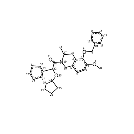 COc1ccc2c(c1OCc1ccccc1)CC(C)N(C(=O)C(OC1CCCC1)c1ccccc1)C2